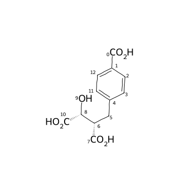 O=C(O)c1ccc(C[C@H](C(=O)O)[C@@H](O)C(=O)O)cc1